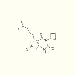 O=c1cc(CCCC(F)F)c2c(=O)n(C3CCC3)c(=O)[nH]c2o1